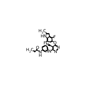 C=CC(=O)Nc1cccc(Nc2ncnc(Oc3cc(F)c4[nH]c(C)cc4c3F)c2C#N)c1